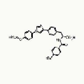 CCCCCCOc1ccc(-n2cnc(-c3ccc(C[C@H](NC(=O)c4ccc(C(C)(C)C)cc4)C(=O)O)cc3)c2)cc1